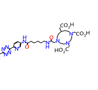 O=C(O)CC1CCN(CC(=O)O)CCN(CC(=O)O)CCN(CC(=O)NCCCCCC(=O)Nc2ccc(-c3nnc(-c4ccccn4)nn3)nc2)CC1